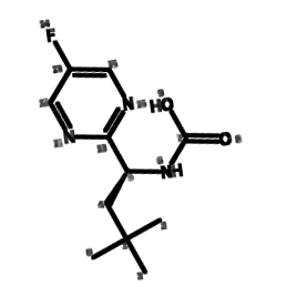 CC(C)(C)C[C@H](NC(=O)O)c1ncc(F)cn1